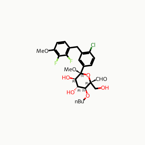 CCCCO[C@H]1[C@H](O)[C@@H](O)[C@](OC)(c2ccc(Cl)c(Cc3ccc(OC)c(F)c3F)c2)O[C@]1(C=O)CO